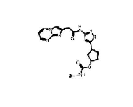 CC[C@H](C)NC(=O)O[C@@H]1CC[C@H](c2cc(NC(=O)Cc3cn4cccnc4n3)n[nH]2)C1